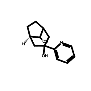 OC1C2CC[C@@H]1CC(O)(c1ccccn1)C2